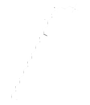 CCCCCCCCCCCCCCCCCCCCCCCCCC(=O)OC[C@@H](O)COP(=O)([O-])OCC[N+](C)(C)C